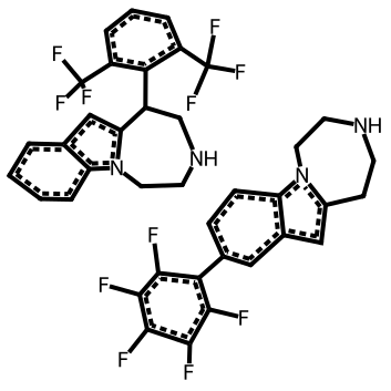 FC(F)(F)c1cccc(C(F)(F)F)c1C1CNCCn2c1cc1ccccc12.Fc1c(F)c(F)c(-c2ccc3c(c2)cc2n3CCNCC2)c(F)c1F